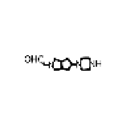 O=CCN1CC2CC(N3CCNCC3)CC2C1